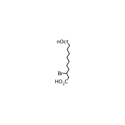 CCCCCCCCCCCCCCCC(Br)CC(=O)O